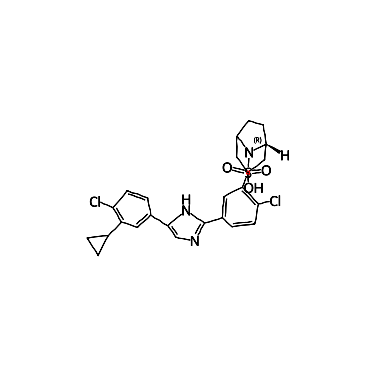 O=S(=O)(c1cc(-c2ncc(-c3ccc(Cl)c(C4CC4)c3)[nH]2)ccc1Cl)N1C2CC[C@@H]1CC(O)C2